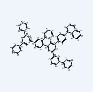 C1=CB2c3c(-c4ccc(-c5cccc6ccccc56)cc4)cc(-c4cccc(-c5ccccc5)c4)cc3-c3ccc(-c4nc(-c5ccncc5)nc(-c5ccncc5)n4)cc3N2C=C1